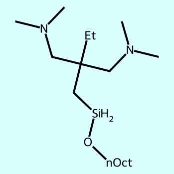 CCCCCCCCO[SiH2]CC(CC)(CN(C)C)CN(C)C